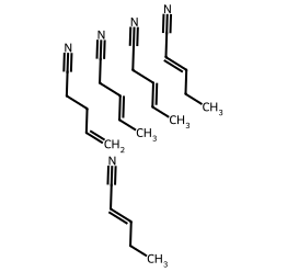 C=CCCC#N.CC=CCC#N.CC=CCC#N.CCC=CC#N.CCC=CC#N